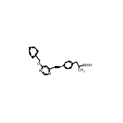 CC(=O)NC(C)Cc1ccc(C#Cc2cc(OCc3ccccc3)ncn2)cc1